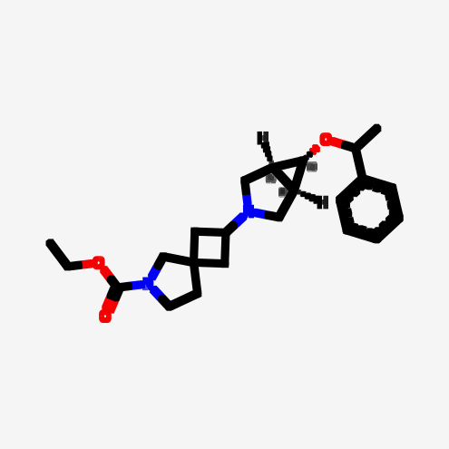 CCOC(=O)N1CCC2(CC(N3C[C@@H]4[C@H](C3)[C@H]4OC(C)c3ccccc3)C2)C1